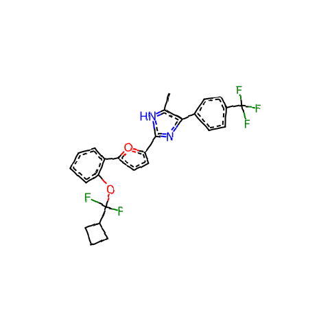 Cc1[nH]c(-c2ccc(-c3ccccc3OC(F)(F)C3CCC3)o2)nc1-c1ccc(C(F)(F)F)cc1